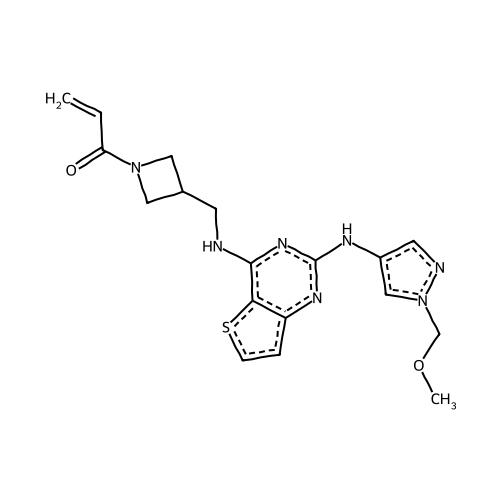 C=CC(=O)N1CC(CNc2nc(Nc3cnn(COC)c3)nc3ccsc23)C1